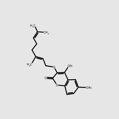 CC(=O)Oc1ccc2oc(=O)c(OC/C=C(\C)CCC=C(C)C)c(O)c2c1